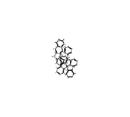 c1ccc(N(c2cccc3c2C2(c4ccccc4-c4ccccc42)c2ccccc2-3)c2cccc3oc4cc5ccccc5cc4c23)cc1